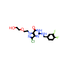 O=c1[nH]c(NCc2ccc(F)c(F)c2)nc2c(Cl)nn(CCOCCO)c12